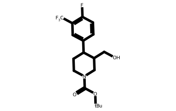 CC(C)(C)OC(=O)N1CCC(c2ccc(F)c(C(F)(F)F)c2)C(CO)C1